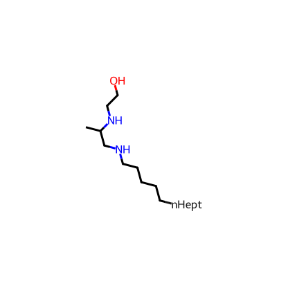 CCCCCCCCCCCCNCC(C)NCCO